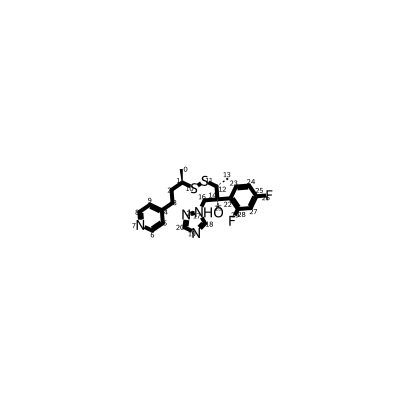 C[C@H](CCc1ccncc1)SS[C@H](C)[C@](O)(Cn1cncn1)c1ccc(F)cc1F